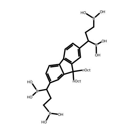 CCCCCCCCC1(CCCCCCCC)c2cc(C(CCB(O)O)B(O)O)ccc2-c2ccc(C(CCB(O)O)B(O)O)cc21